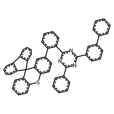 c1ccc(-c2cccc(-c3nc(-c4ccccc4)nc(-c4ccccc4-c4ccc5c(c4)C4(c6ccccc6S5)c5ccccc5-c5ccccc54)n3)c2)cc1